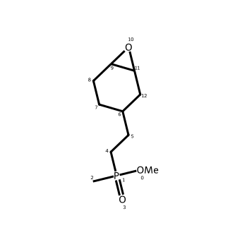 COP(C)(=O)CCC1CCC2OC2C1